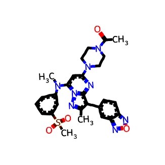 CC(=O)N1CCN(c2cc(N(C)c3cccc(S(C)(=O)=O)c3)n3nc(C)c(-c4ccc5nonc5c4)c3n2)CC1